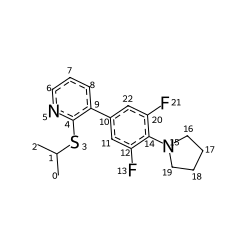 CC(C)Sc1ncccc1-c1cc(F)c(N2CCCC2)c(F)c1